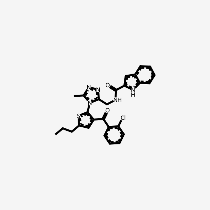 CCCc1cc(C(=O)c2ccccc2Cl)c(-n2c(C)nnc2CNC(=O)c2cc3ccccc3[nH]2)s1